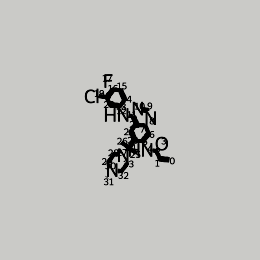 C=CC(=O)Nc1cc2ncnc(Nc3ccc(F)c(Cl)c3)c2cc1C(C)(C)N1CCN(C)CC1